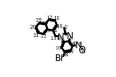 Cc1nc2c(N=O)cc(Br)cc2n1Cc1cccc2ccccc12